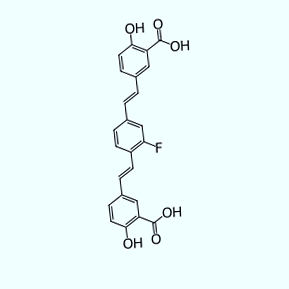 O=C(O)c1cc(C=Cc2ccc(C=Cc3ccc(O)c(C(=O)O)c3)c(F)c2)ccc1O